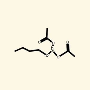 CCCCO[SiH](OC(C)=O)OC(C)=O